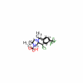 CC1CN(C(C)c2ccc(C(F)(F)F)cc2)C(CCl)CN1C(=O)O